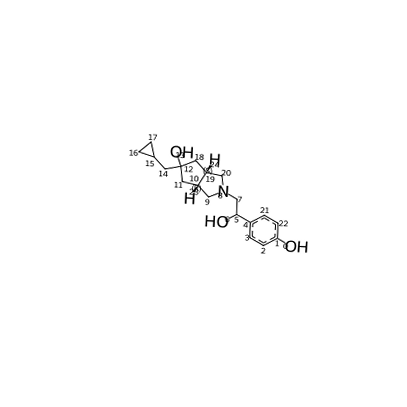 Oc1ccc(C(O)CN2C[C@@H]3CC(O)(CC4CC4)C[C@@H]3C2)cc1